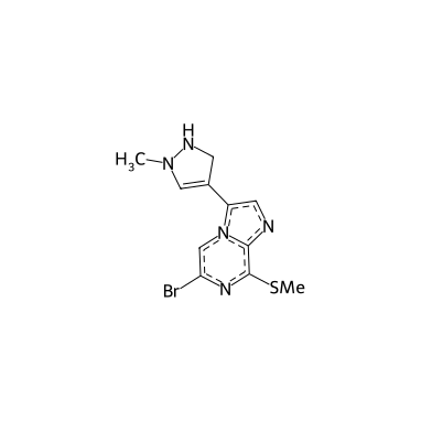 CSc1nc(Br)cn2c(C3=CN(C)NC3)cnc12